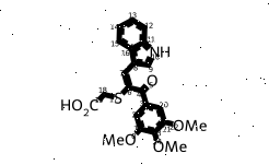 COc1cc(C(=O)/C(=C\c2c[nH]c3ccccc23)SCC(=O)O)cc(OC)c1OC